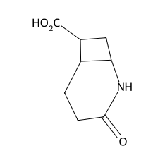 O=C1CCC2C(CC2C(=O)O)N1